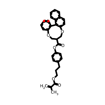 C=C(C)C(=O)OCCCc1ccc(OC(=O)C2COc3ccc4ccccc4c3-c3c(ccc4ccccc34)OC2)cc1